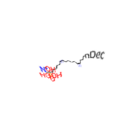 CCCCCCCCCCCCC/C=C\CCCC/C=C\CCCCCC(O)(C[N+](C)(C)C)P(=O)(O)O